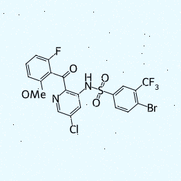 COc1cccc(F)c1C(=O)c1ncc(Cl)cc1NS(=O)(=O)c1ccc(Br)c(C(F)(F)F)c1